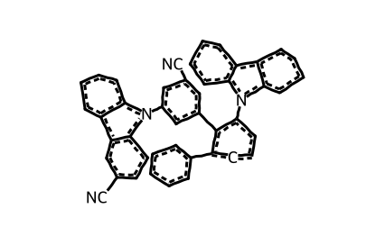 N#Cc1cc(-c2c(-c3ccccc3)cccc2-n2c3ccccc3c3ccccc32)cc(-n2c3ccccc3c3cc(C#N)ccc32)c1